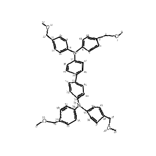 COCc1ccc(N(c2ccc(COC)cc2)c2ccc(-c3ccc(N(c4ccc(COC)cc4)c4ccc(COC)cc4)cc3)cc2)cc1